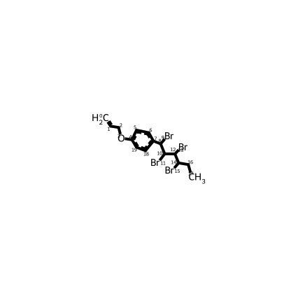 C=CCOc1ccc(C(Br)C(Br)C(Br)C(Br)CC)cc1